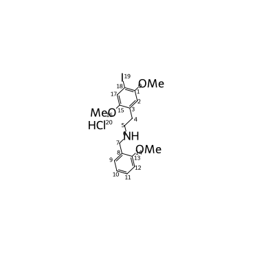 COc1cc(CCNCc2ccccc2OC)c(OC)cc1I.Cl